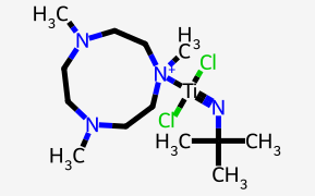 CN1CCN(C)CC[N+](C)([Ti]([Cl])([Cl])=[N]C(C)(C)C)CC1